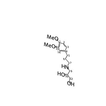 COc1ccc(CCCNCC(O)CO)cc1OC